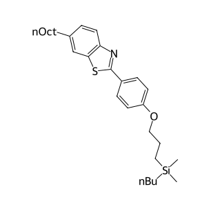 CCCCCCCCc1ccc2nc(-c3ccc(OCCC[Si](C)(C)CCCC)cc3)sc2c1